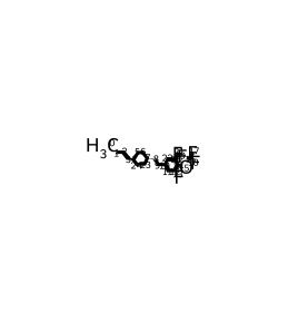 CC/C=C/[C@H]1CC[C@H](CCc2cc(F)c(OC(F)(F)F)c(F)c2)CC1